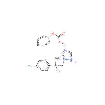 CCCCC(C#N)(C[n+]1cn(COC(=O)Oc2ccccc2)cn1)c1ccc(Cl)cc1.[I-]